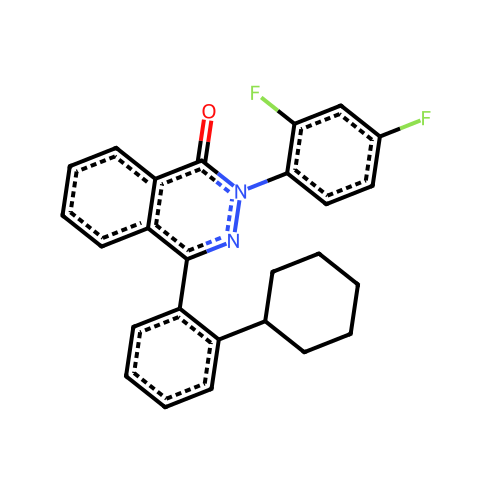 O=c1c2ccccc2c(-c2ccccc2C2CCCCC2)nn1-c1ccc(F)cc1F